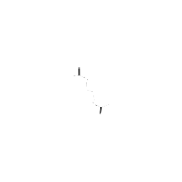 O=C(F)NSSNC(=O)F